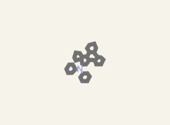 c1ccc(N(c2ccccc2)c2cc3c4ccccc4c4ccccc4c3c3ccccc23)cc1